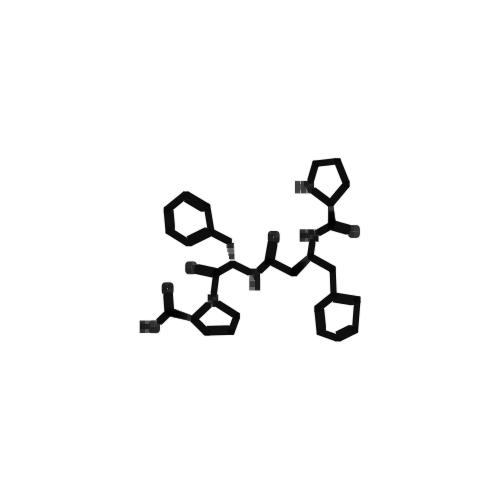 O=C(C[C@H](Cc1ccccc1)NC(=O)[C@@H]1CCCN1)N[C@@H](Cc1ccccc1)C(=O)N1CC=C[C@H]1C(=O)O